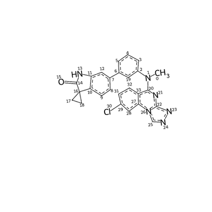 CN(c1cccc(-c2ccc3c(c2)NC(=O)C32CC2)c1)c1nc2nncn2c2cc(Cl)ccc12